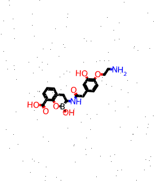 NCCOc1ccc(CC(=O)NC2Cc3cccc(C(=O)O)c3OB2O)cc1O